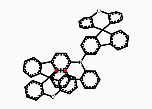 c1ccc(-c2ccccc2N(c2ccc3c(c2)-c2ccccc2C32c3ccccc3Oc3ccccc32)c2ccc3c(c2)C2(c4ccccc4Oc4ccccc42)c2ccccc2-3)cc1